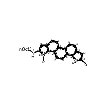 CCCCCCCCNc1cc2ccc3c4ccc5cc(C)sc5c4ccc3c2n1C